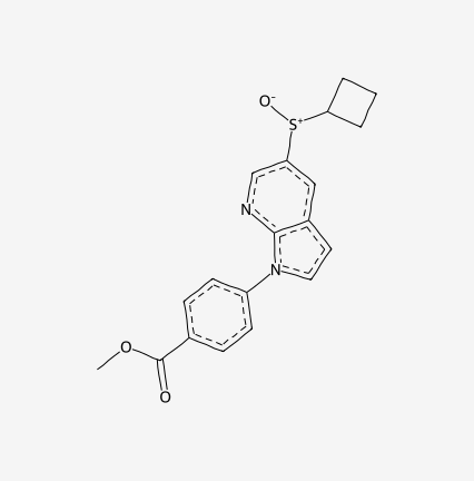 COC(=O)c1ccc(-n2ccc3cc([S+]([O-])C4CCC4)cnc32)cc1